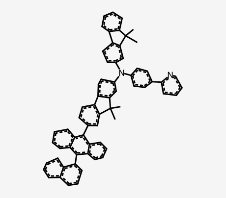 CC1(C)c2ccccc2-c2ccc(N(c3ccc(-c4ccccn4)cc3)c3ccc4c(c3)C(C)(C)c3cc(-c5c6ccccc6c(-c6cccc7ccccc67)c6ccccc56)ccc3-4)cc21